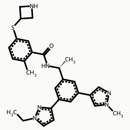 CCn1ccc(-c2cc(-c3cnn(C)c3)cc([C@@H](C)NC(=O)c3cc(SC4CNC4)ccc3C)c2)n1